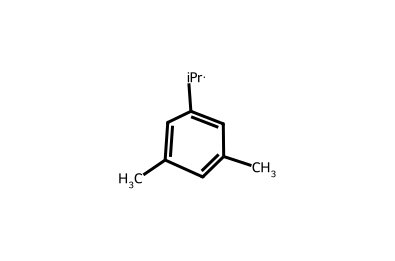 C[C](C)c1cc(C)cc(C)c1